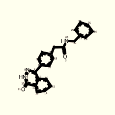 O=C(Cc1ccc(-c2n[nH]c(=O)c3ccccc23)cc1)NCc1ccccc1